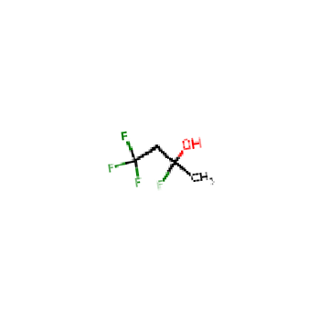 CC(O)(F)CC(F)(F)F